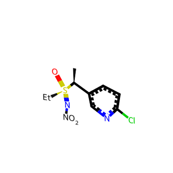 CC[S@](=O)(=N[N+](=O)[O-])[C@@H](C)c1ccc(Cl)nc1